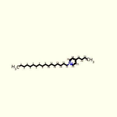 CCCCCCCCCCCCCCCCC[n+]1ccc(CCCC)cc1